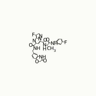 C[C@H](NC(=O)c1cc(C(=O)NCc2ccc3c(c2)NC(=O)CO3)nc2c(F)cnn12)C(=O)NCc1ccc(F)cc1